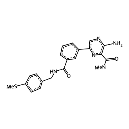 CNC(=O)c1nc(-c2cccc(C(=O)NCc3ccc(SC)cc3)c2)cnc1N